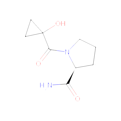 NC(=O)[C@@H]1[CH]CCN1C(=O)C1(O)CC1